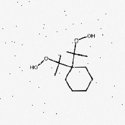 CC(C)(OO)C1(C(C)(C)OO)CCCCC1